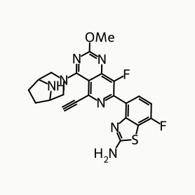 C#Cc1nc(-c2ccc(F)c3sc(N)nc23)c(F)c2nc(OC)nc(N3CC4CCC(C3)N4)c12